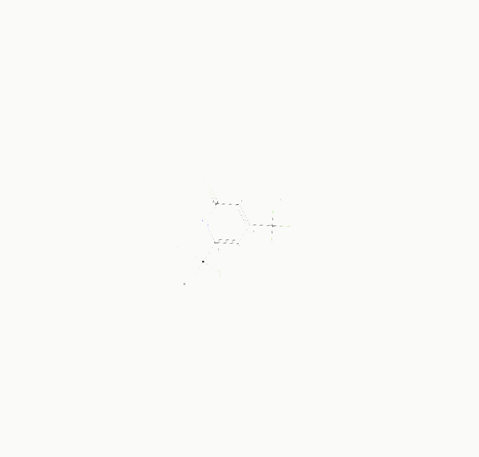 FC(F)(F)c1cc(C(F)(F)F)[nH]c(=S)c1